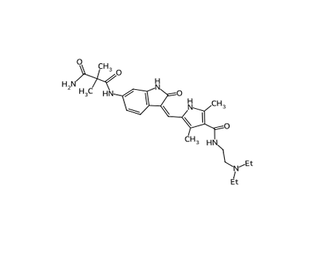 CCN(CC)CCNC(=O)c1c(C)[nH]c(C=C2C(=O)Nc3cc(NC(=O)C(C)(C)C(N)=O)ccc32)c1C